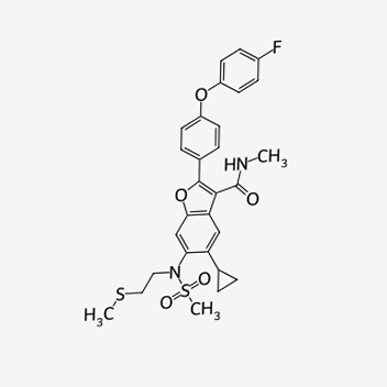 CNC(=O)c1c(-c2ccc(Oc3ccc(F)cc3)cc2)oc2cc(N(CCSC)S(C)(=O)=O)c(C3CC3)cc12